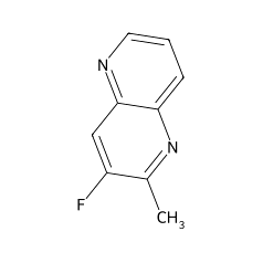 Cc1nc2cccnc2cc1F